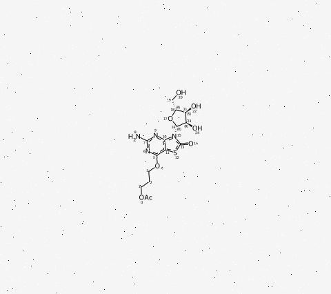 CC(=O)OCCCOc1nc(N)nc2c1sc(=O)n2[C@@H]1O[C@H](CO)[C@@H](O)[C@H]1O